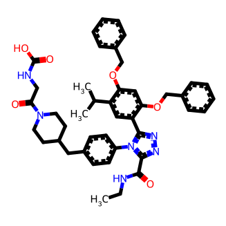 CCNC(=O)c1nnc(-c2cc(C(C)C)c(OCc3ccccc3)cc2OCc2ccccc2)n1-c1ccc(CC2CCN(C(=O)CNC(=O)O)CC2)cc1